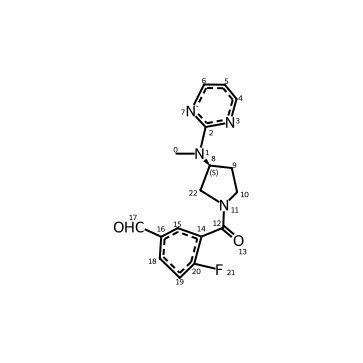 CN(c1ncccn1)[C@H]1CCN(C(=O)c2cc(C=O)ccc2F)C1